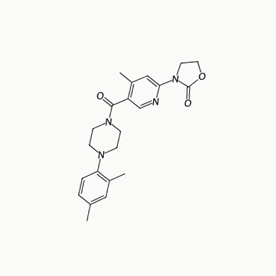 Cc1ccc(N2CCN(C(=O)c3cnc(N4CCOC4=O)cc3C)CC2)c(C)c1